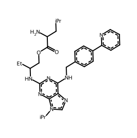 CCC(COC(=O)C(N)CC(C)C)Nc1nc(NCc2ccc(-c3ccccn3)cc2)c2ncn(C(C)C)c2n1